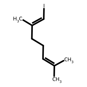 CC(C)=CCCC(C)=CI